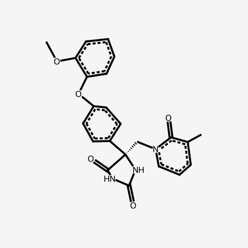 COc1ccccc1Oc1ccc([C@@]2(Cn3cccc(C)c3=O)NC(=O)NC2=O)cc1